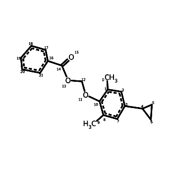 Cc1cc(C2CC2)cc(C)c1OCOC(=O)c1ccccc1